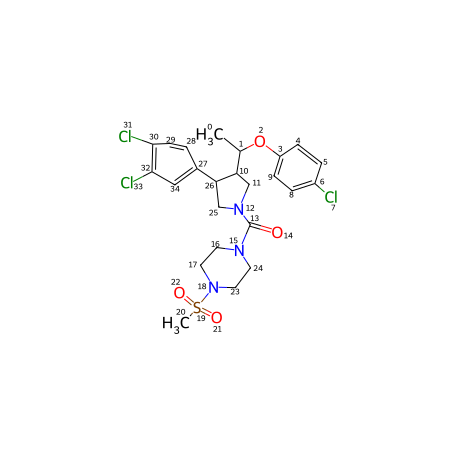 CC(Oc1ccc(Cl)cc1)C1CN(C(=O)N2CCN(S(C)(=O)=O)CC2)CC1c1ccc(Cl)c(Cl)c1